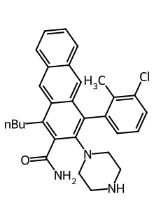 CCCCc1c(C(N)=O)c(N2CCNCC2)c(-c2cccc(Cl)c2C)c2cc3ccccc3cc12